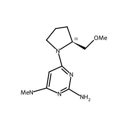 CNc1cc(N2CCC[C@H]2COC)nc(N)n1